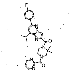 CC(C)c1cc(-c2ccc(F)cc2)nn2cc(C(=O)N3CCN(C(=O)c4ncccn4)CC3(C)C)nc12